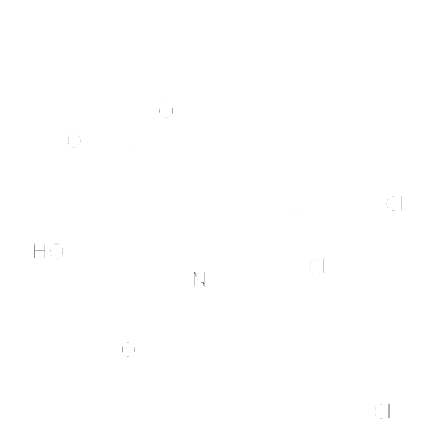 CCOC(=O)C1=C(O)C(=O)N(c2ccc(Cl)cc2)C1c1cccc(Cl)c1Cl